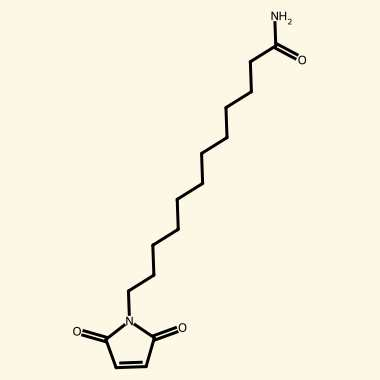 NC(=O)CCCCCCCCCCCN1C(=O)C=CC1=O